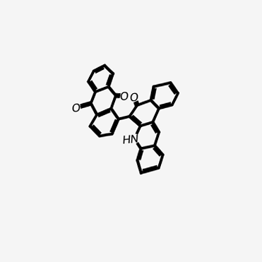 O=C1c2ccccc2C(=O)c2c1cccc2-c1c2[nH]c3ccccc3cc-2c2ccccc2c1=O